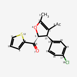 CC(=O)C1=C(C)O[C@@H](C(=O)c2cccs2)[C@@H]1c1ccc(Cl)cc1